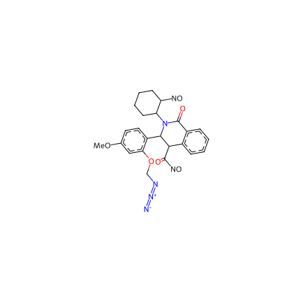 COc1ccc(C2C(C(=O)N=O)c3ccccc3C(=O)N2C2CCCCC2N=O)c(OCN=[N+]=[N-])c1